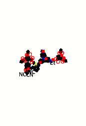 [C-]#[N+]C1=C(/C=C/C=C2\CC(C)(C)CC(/C=C/c3ccc(N(c4ccc(N(C)C)cc4)c4ccc(N(CC)CCOC(=O)c5cc(OC(=O)C=C)cc(OC(=O)C=C)c5)cc4)cc3)=C2SCCOC(=O)c2cc(OC(=O)C=C)cc(OC(=O)C=C)c2)C(C)(c2ccccc2)OC1=C(C#N)C#N